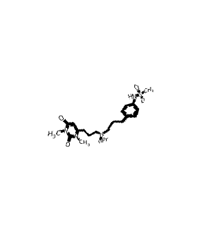 CCCN(CCCc1ccc(NS(C)(=O)=O)cc1)CCCc1cc(=O)n(C)c(=O)n1C